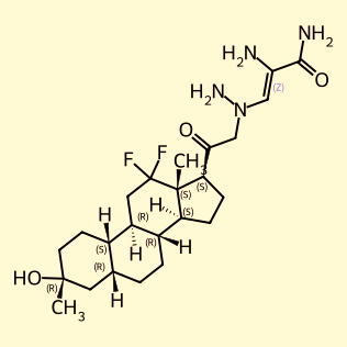 C[C@@]1(O)CC[C@H]2[C@H](CC[C@@H]3[C@@H]2CC(F)(F)[C@]2(C)[C@@H](C(=O)CN(N)/C=C(\N)C(N)=O)CC[C@@H]32)C1